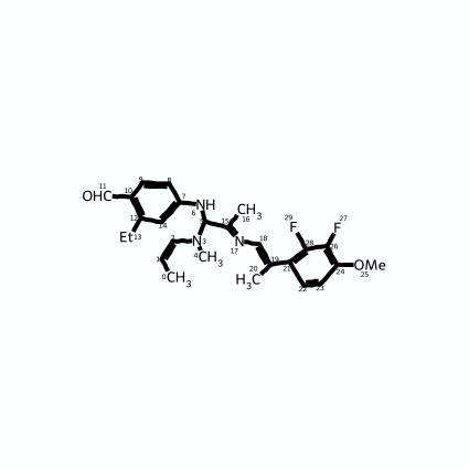 C/C=C\N(C)C(Nc1ccc(C=O)c(CC)c1)/C(C)=N/C=C(\C)c1ccc(OC)c(F)c1F